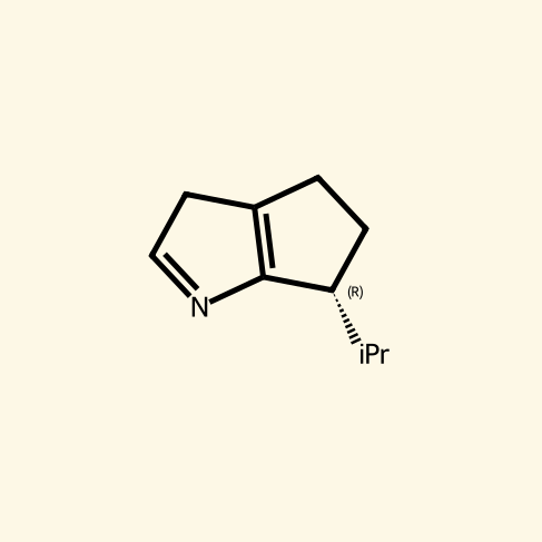 CC(C)[C@H]1CCC2=C1N=CC2